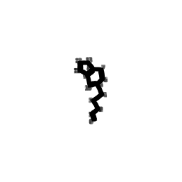 C=CCCCc1ccc2c(c1)C=CC2